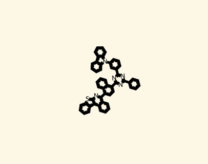 c1ccc(-c2nc(-c3cccc(-n4c5ccccc5c5ccccc54)c3)nc(-c3ccc(-c4nc5sc6ccccc6c5c5ccccc45)c4ccccc34)n2)cc1